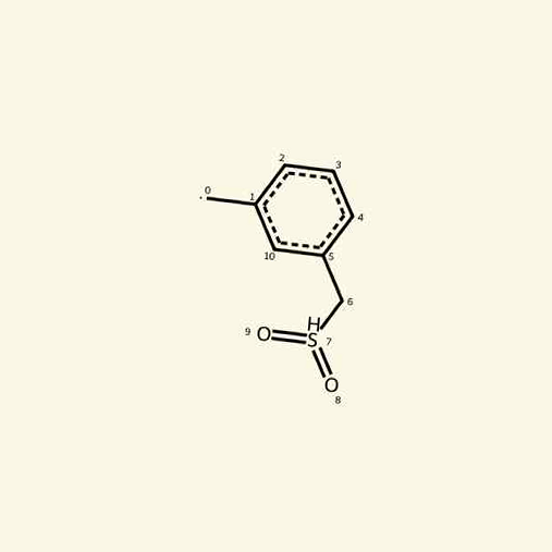 [CH2]c1cccc(C[SH](=O)=O)c1